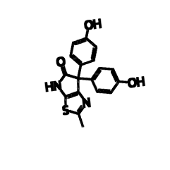 Cc1nc2c(s1)NC(=O)C2(c1ccc(O)cc1)c1ccc(O)cc1